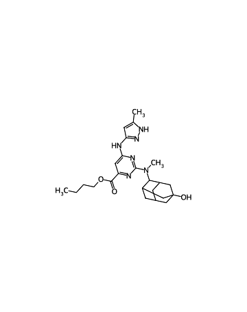 CCCCOC(=O)c1cc(Nc2cc(C)[nH]n2)nc(N(C)C2C3CC4CC2CC(O)(C4)C3)n1